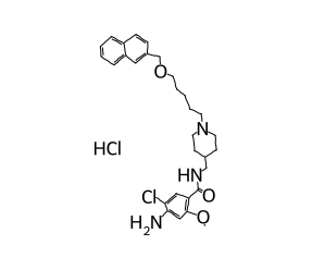 COc1cc(N)c(Cl)cc1C(=O)NCC1CCN(CCCCCOCc2ccc3ccccc3c2)CC1.Cl